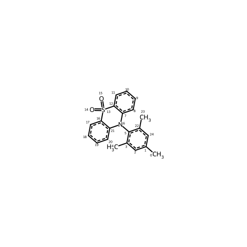 Cc1cc(C)c(N2c3ccccc3S(=O)(=O)c3ccccc32)c(C)c1